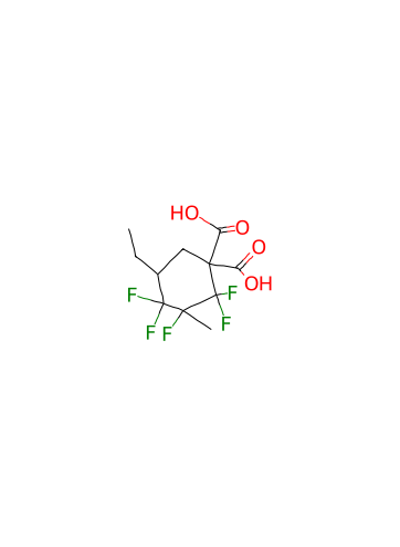 CCC1CC(C(=O)O)(C(=O)O)C(F)(F)C(C)(F)C1(F)F